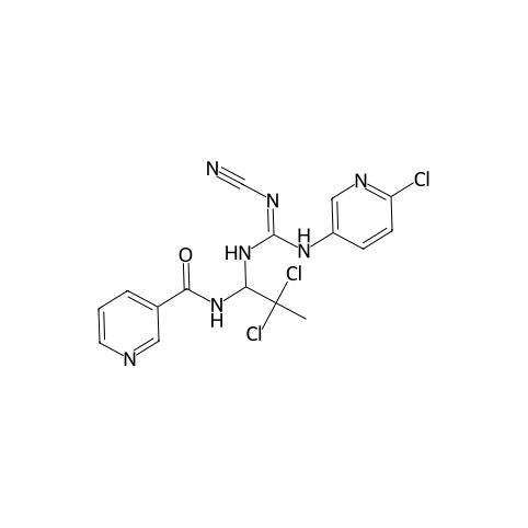 CC(Cl)(Cl)C(NC(=O)c1cccnc1)N/C(=N\C#N)Nc1ccc(Cl)nc1